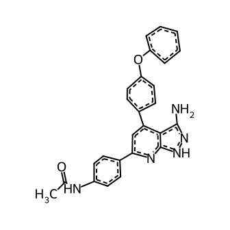 CC(=O)Nc1ccc(-c2cc(-c3ccc(Oc4ccccc4)cc3)c3c(N)n[nH]c3n2)cc1